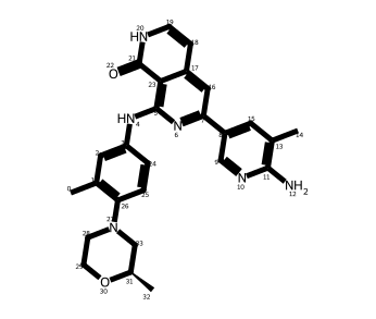 Cc1cc(Nc2nc(-c3cnc(N)c(C)c3)cc3cc[nH]c(=O)c23)ccc1N1CCO[C@H](C)C1